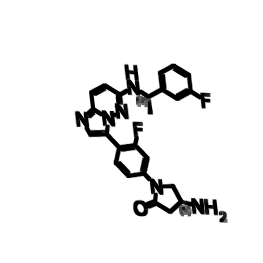 C[C@@H](Nc1ccc2ncc(-c3ccc(N4C[C@@H](N)CC4=O)cc3F)n2n1)c1cccc(F)c1